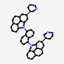 c1cncc(-c2cc3ccc4cccc5c4c3c(c2)n5-c2cccc3c(-n4c5cccc6ccc7cc(-c8cccnc8)cc4c7c65)cccc23)c1